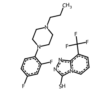 CCCN1CCN(c2ccc(F)cc2F)CC1.FC(F)(F)c1cccn2c(S)nnc12